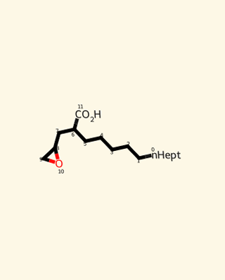 CCCCCCCCCCCCC(CC1CO1)C(=O)O